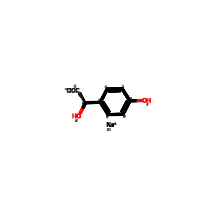 O=C([O-])[C@H](O)c1ccc(O)cc1.[Na+]